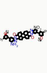 CC(C)c1cc(O[Si](C)(C)C)cc(-c2cc(N)c3nc4c5ccc6c7ccc8c(=O)n9c%10cc(-c%11cc(O[Si](C)(C)C)cc(C(C)C)c%11)cc([N+](=O)[O-])c%10nc9c9ccc(c%10ccc(c(=O)n4c3c2)c5c6%10)c7c89)c1